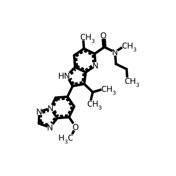 CCCN(C)C(=O)c1nc2c(C(C)C)c(-c3cc(OC)c4ncnn4c3)[nH]c2cc1C